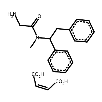 CN(C(=O)CN)C(Cc1ccccc1)c1ccccc1.O=C(O)/C=C\C(=O)O